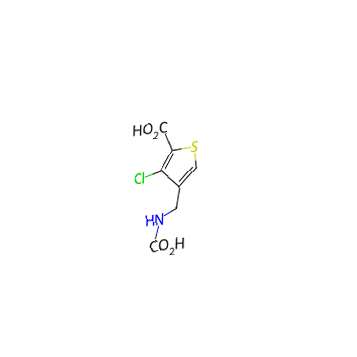 O=C(O)NCc1csc(C(=O)O)c1Cl